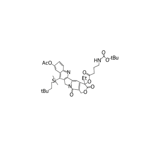 CCC1(OC(=O)CCCNC(=O)OC(C)(C)C)C(=O)OCc2c1cc1n(c2=O)Cc2c-1nc1ccc(OC(C)=O)cc1c2[Si](C)(C)CCC(C)(C)C